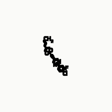 C=CCC[C@H]1CO[C@H](C#Cc2cnc(-c3ccc(Cl)c(F)c3)nc2)OC1